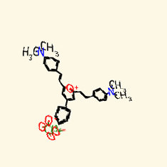 CN(C)c1ccc(C=Cc2cc(-c3ccccc3)cc(C=Cc3ccc(N(C)C)cc3)[o+]2)cc1.[O-][Cl+3]([O-])([O-])[O-]